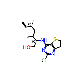 C=C[C@H](C)CC(C)[C@H](CO)Nc1nc(Cl)nc2c1SCC2